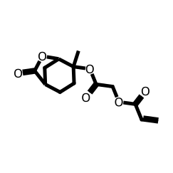 C=CC(=O)OCC(=O)OC1(C)CCC2CC1OC2=O